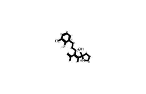 C=C(C)/C(=C(\C)C1(C)CCCN1)[C@@H](O)CCc1cccc(Cl)c1F